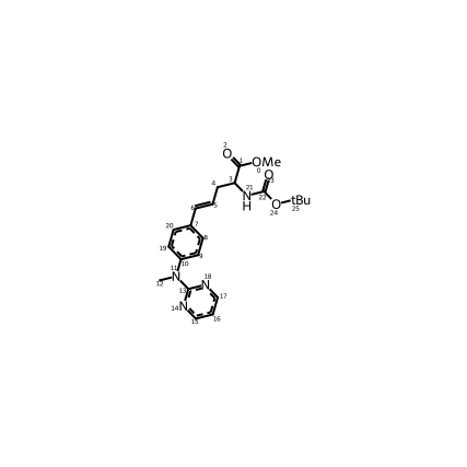 COC(=O)C(C/C=C/c1ccc(N(C)c2ncccn2)cc1)NC(=O)OC(C)(C)C